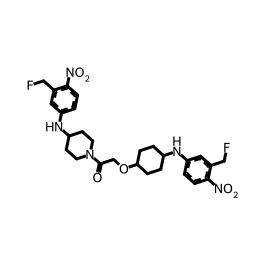 O=C(COC1CCC(Nc2ccc([N+](=O)[O-])c(CF)c2)CC1)N1CCC(Nc2ccc([N+](=O)[O-])c(CF)c2)CC1